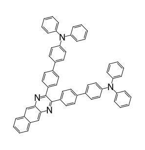 c1ccc(N(c2ccccc2)c2ccc(-c3ccc(-c4nc5cc6ccccc6cc5nc4-c4ccc(-c5ccc(N(c6ccccc6)c6ccccc6)cc5)cc4)cc3)cc2)cc1